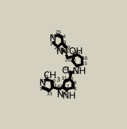 Cc1cc(-c2n[nH]c3ccc(C(=O)N[C@@H]4CCC[C@@](O)(Cn5cc6ccncc6n5)C4)cc23)ccn1